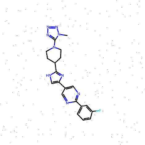 Cn1nnnc1N1CCC(c2nc(-c3cnc(-c4cccc(F)c4)nc3)c[nH]2)CC1